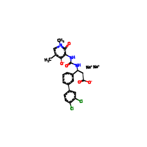 Cc1cn(C)c(=O)c(NC(=O)NC(CC(=O)[O-])c2cccc(-c3ccc(Cl)c(Cl)c3)c2)c1[O-].[Na+].[Na+]